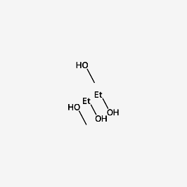 CCO.CCO.CO.CO